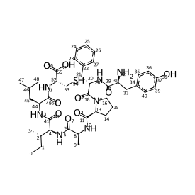 CC[C@H](C)[C@H](NC(=O)[C@H](C)NC(=O)[C@@H]1CCCN1C(=O)[C@H](Cc1ccccc1)NC(=O)[C@@H](N)Cc1ccc(O)cc1)C(=O)N[C@@H](CC(C)C)C(=O)N[C@@H](CS)C(=O)O